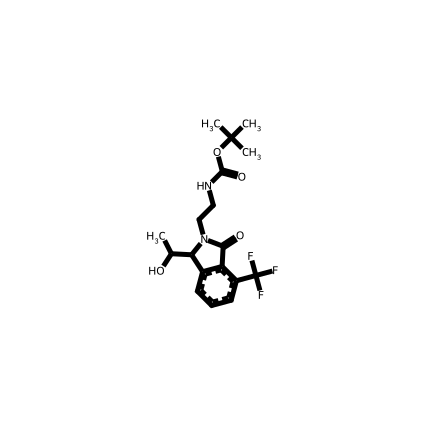 CC(O)C1c2cccc(C(F)(F)F)c2C(=O)N1CCNC(=O)OC(C)(C)C